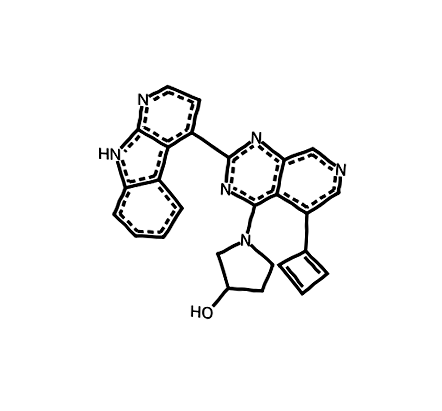 OC1CCN(c2nc(-c3ccnc4[nH]c5ccccc5c34)nc3cncc(C4=CC=C4)c23)C1